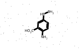 BBc1ccc(N)c(C(=O)O)c1